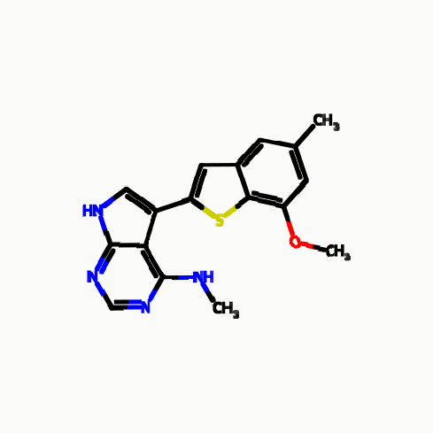 CNc1ncnc2[nH]cc(-c3cc4cc(C)cc(OC)c4s3)c12